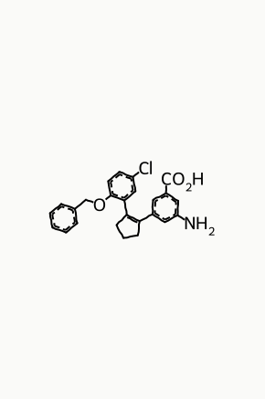 Nc1cc(C(=O)O)cc(C2=C(c3cc(Cl)ccc3OCc3ccccc3)CCC2)c1